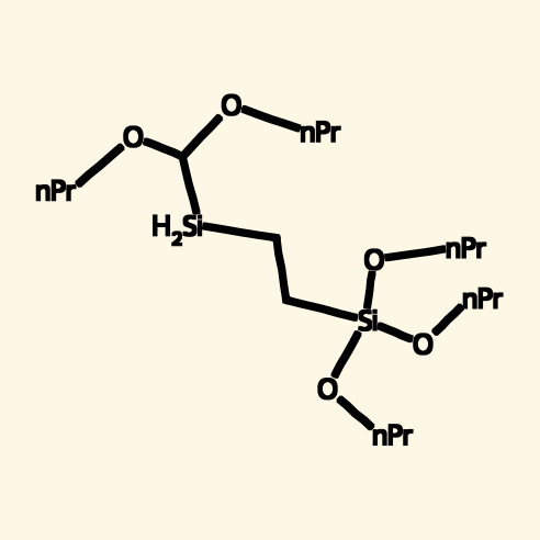 CCCOC(OCCC)[SiH2]CC[Si](OCCC)(OCCC)OCCC